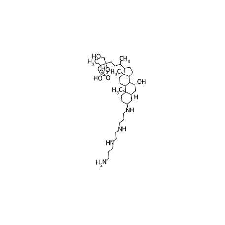 CC(C)[C@](CO)(CC[C@@H](C)[C@H]1CCC2C3C(CC[C@@]21C)[C@@]1(C)CC[C@H](NCCCNCCNCCCN)C[C@@H]1C[C@H]3O)OS(=O)(=O)O